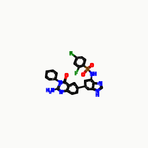 Nc1nc2ccc(-c3cc(NS(=O)(=O)c4ccc(F)cc4F)c4nc[nH]c4c3)cc2c(=O)n1-c1ccccc1